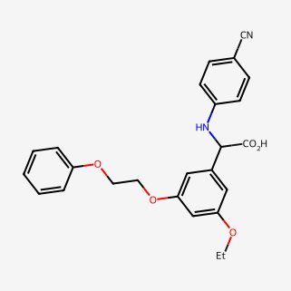 CCOc1cc(OCCOc2ccccc2)cc(C(Nc2ccc(C#N)cc2)C(=O)O)c1